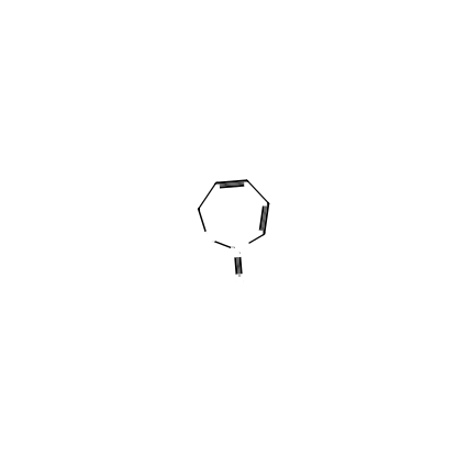 O=[N+]1C=CC=CCO1